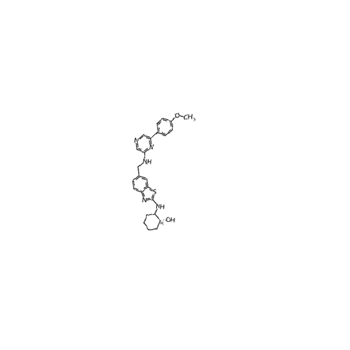 COc1ccc(-c2cncc(NCc3ccc4nc(NC5CCCC[C@H]5O)sc4c3)n2)cc1